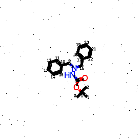 CC(C)(C)OC(=O)NN([CH]c1ccccc1)[CH]c1ccccc1